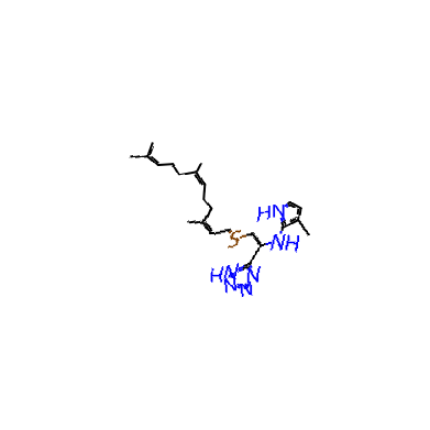 CC(C)=CCCC(C)=CCCC(C)=CCSCC(Nc1[nH]ccc1C)c1nnn[nH]1